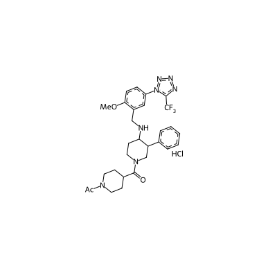 COc1ccc(-n2nnnc2C(F)(F)F)cc1CNC1CCN(C(=O)C2CCN(C(C)=O)CC2)CC1c1ccccc1.Cl